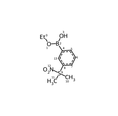 CCOB(O)c1cccc(S(C)(C)[N+](=O)[O-])c1